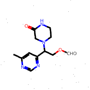 Cc1cc(C(COC=O)N2CCNC(=O)C2)ncn1